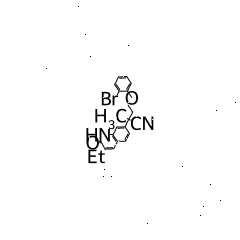 CCc1cc2ccc(C(C)(C#N)CCOc3ccccc3Br)cc2[nH]c1=O